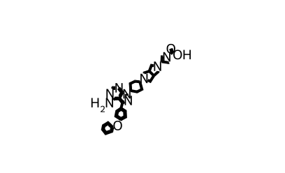 Nc1ncnc2c1c(-c1ccc(Oc3ccccc3)cc1)nn2C1CCC(N2CC3CN(C4CN(C(=O)O)C4)CC3C2)CC1